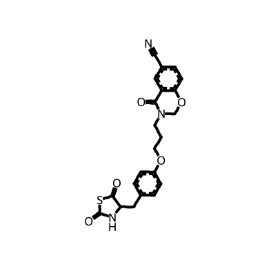 N#Cc1ccc2c(c1)C(=O)N(CCCOc1ccc(CC3NC(=O)SC3=O)cc1)CO2